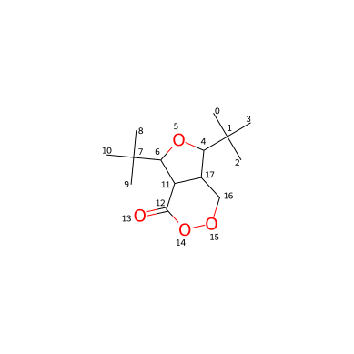 CC(C)(C)C1OC(C(C)(C)C)C2C(=O)OOCC21